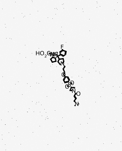 CN(C)C/C=C/C(=O)N1CC(S(=O)(=O)c2ccc(OCCCN3CCC(C(C#N)(c4cccc(F)c4)[C@H]4CCC[C@@H]4NC(=O)O)CC3)cc2)C1